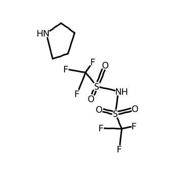 C1CCNC1.O=S(=O)(NS(=O)(=O)C(F)(F)F)C(F)(F)F